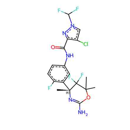 CC1(C)OC(N)=N[C@](C)(c2cc(NC(=O)c3nn(C(F)F)cc3Cl)ccc2F)C1(F)F